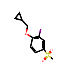 CS(=O)(=O)c1ccc(OCC2CC2)c(I)c1